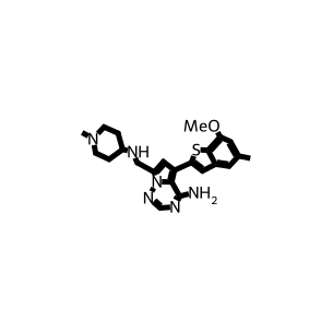 COc1cc(C)cc2cc(-c3cc(CNC4CCN(C)CC4)n4ncnc(N)c34)sc12